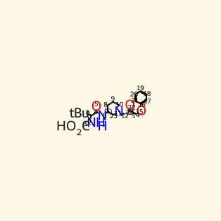 CC(C)(C)C(NC(=O)O)C(=O)N[C@H]1CCCN(C[C@H]2COc3ccccc3O2)C1